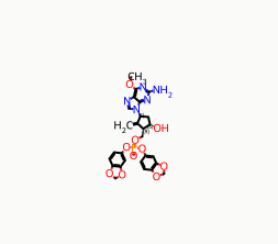 C=C1[C@H](COP(=O)(Oc2ccc3c(c2)OCO3)Oc2ccc3c(c2)OCO3)[C@@H](O)C[C@@H]1n1cnc2c(OC)nc(N)nc21